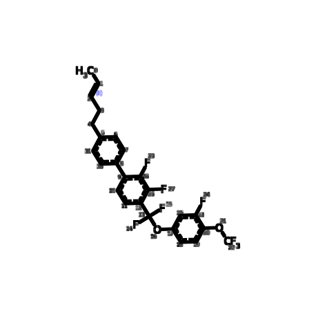 C/C=C/CCc1ccc(-c2ccc(C(F)(F)Oc3ccc(OC(F)(F)F)c(F)c3)c(F)c2F)cc1